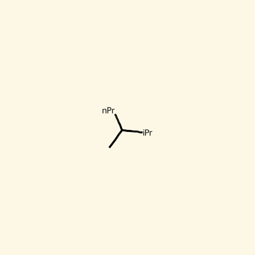 [CH2]C(C)C(C)C[CH]C